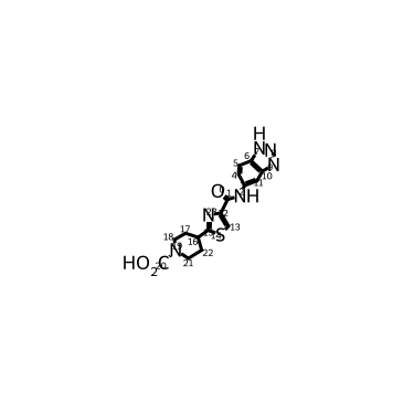 O=C(Nc1ccc2[nH]nnc2c1)c1csc(C2CCN(C(=O)O)CC2)n1